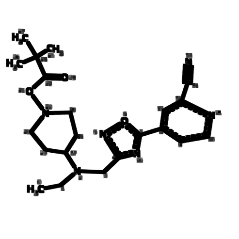 CCN(Cc1noc(-c2ccnc(C#N)c2)n1)C1CCN(OC(=O)C(C)(C)C)CC1